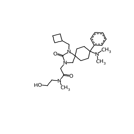 CN(CCO)C(=O)CN1CC2(CCC(c3ccccc3)(N(C)C)CC2)N(CC2CCC2)C1=O